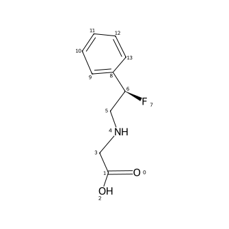 O=C(O)CNC[C@H](F)c1ccccc1